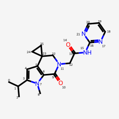 CC(C)c1cc2c(n1C)C(=O)N(CC(=O)Nc1ncccn1)CC21CC1